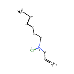 C=CCN(Cl)CCCCCC